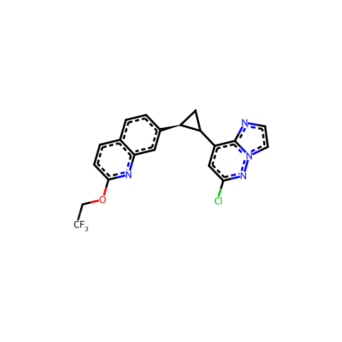 FC(F)(F)COc1ccc2ccc([C@H]3CC3c3cc(Cl)nn4ccnc34)cc2n1